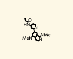 C=CC(=O)Nc1ccnc(-c2cc(NC)c3ccnc(NC)c3c2)c1